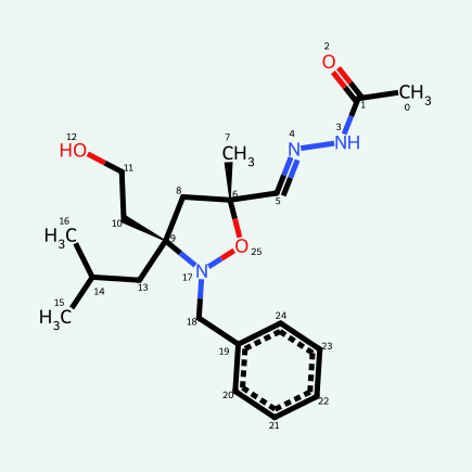 CC(=O)N/N=C/[C@@]1(C)C[C@@](CCO)(CC(C)C)N(Cc2ccccc2)O1